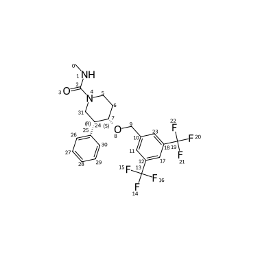 CNC(=O)N1CC[C@H](OCc2cc(C(F)(F)F)cc(C(F)(F)F)c2)[C@H](c2ccccc2)C1